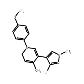 CC1=CCN(c2ccc(OC(F)(F)F)cc2)C=C1c1cn(C)nc1C(F)(F)F